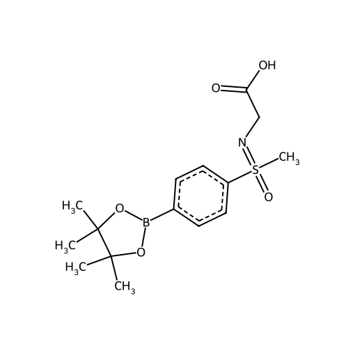 CC1(C)OB(c2ccc(S(C)(=O)=NCC(=O)O)cc2)OC1(C)C